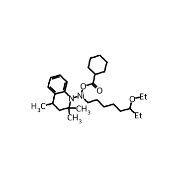 CCOC(CC)CCCC[CH2][Ni]([O]C(=O)C1CCCCC1)[N]1c2ccccc2C(C)CC1(C)C